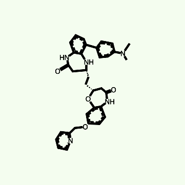 CN(C)c1ccc(-c2cccc3c2N[C@H](CC[C@@H]2CC(=O)Nc4ccc(OCc5ccccn5)cc4O2)CC(=O)N3)cc1